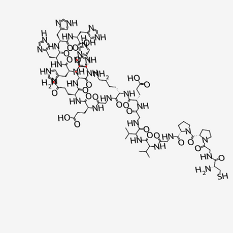 CC(C)[C@H](NC(=O)CNC(=O)[C@@H]1CCCN1C(=O)[C@@H]1CCCN1C(=O)CNC(=O)[C@@H](N)CS)C(=O)N[C@H](C(=O)NCC(=O)N[C@@H](CCC(=O)O)C(=O)N[C@@H](CCCCN)C(=O)NCC(=O)N[C@@H](CCC(=O)O)C(=O)N[C@@H](CCC(N)=O)C(=O)N[C@@H](Cc1c[nH]cn1)C(=O)N[C@@H](Cc1c[nH]cn1)C(=O)N[C@@H](Cc1c[nH]cn1)C(=O)N[C@@H](Cc1c[nH]cn1)C(=O)N[C@@H](Cc1c[nH]cn1)C(=O)N[C@@H](Cc1c[nH]cn1)C(=O)O)C(C)C